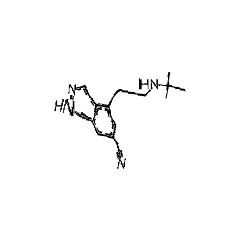 CC(C)(C)NCCc1cc(C#N)cc2[nH]ncc12